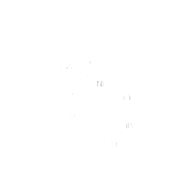 CC(C)c1cc2c(=O)cc(O)c(=O)[nH]c2c(C(C)C)c1C(C)C